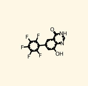 O=c1[nH]cnc2c(O)cc(-c3c(F)c(F)c(F)c(F)c3F)cc12